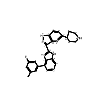 Cc1cc(F)cc(-c2cncc3[nH]c(-c4n[nH]c5ccc(C6CCNCC6)nc45)nc23)c1